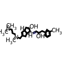 Cc1cccc(C[C@H](O)/C=C/[C@@H]2[C@H]3CC(CN(C)CCCN(C)C)=C[C@H]3C[C@H]2O)c1